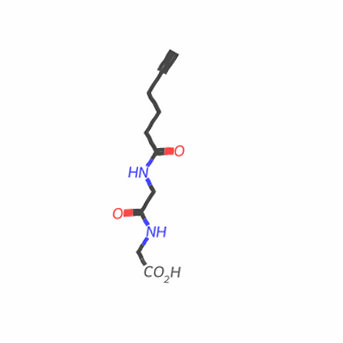 C#CCCCC(=O)NCC(=O)NCC(=O)O